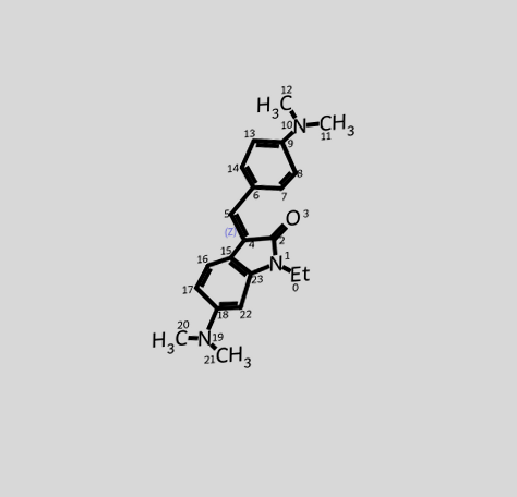 CCN1C(=O)/C(=C\c2ccc(N(C)C)cc2)c2ccc(N(C)C)cc21